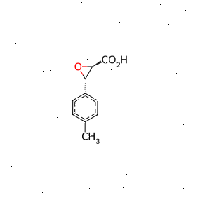 Cc1ccc([C@@H]2O[C@H]2C(=O)O)cc1